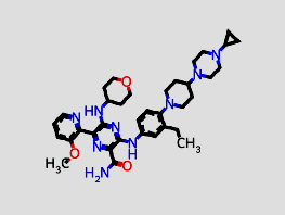 CCc1cc(Nc2nc(NC3CCOCC3)c(-c3ncccc3OC)nc2C(N)=O)ccc1N1CCC(N2CCN(C3CC3)CC2)CC1